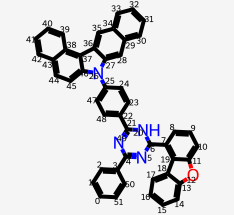 c1ccc(C2=NC(c3cccc4oc5ccccc5c34)NC(c3ccc(-n4c5cc6ccccc6cc5c5c6ccccc6ccc54)cc3)=N2)cc1